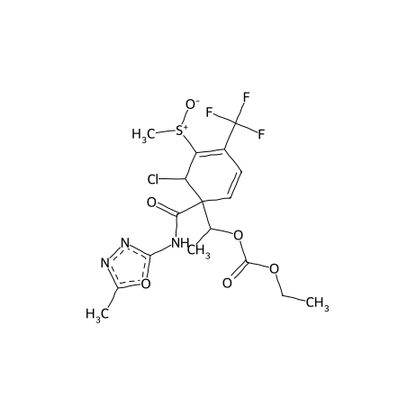 CCOC(=O)OC(C)C1(C(=O)Nc2nnc(C)o2)C=CC(C(F)(F)F)=C([S+](C)[O-])C1Cl